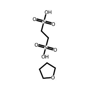 C1CCOC1.O=S(=O)(O)CCS(=O)(=O)O